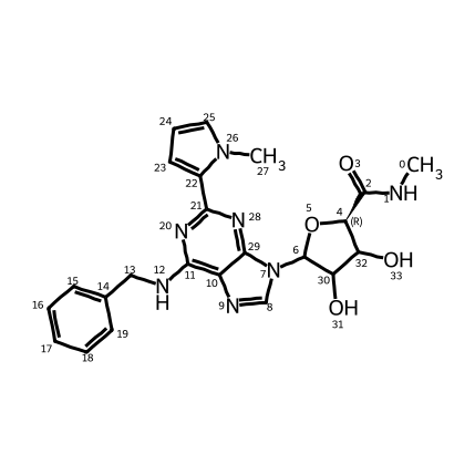 CNC(=O)[C@@H]1OC(n2cnc3c(NCc4ccccc4)nc(-c4cccn4C)nc32)C(O)C1O